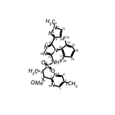 CO[C@H](c1ncc(C)cn1)[C@H](C)S(=O)(=O)Nc1nnc(-c2ccn(C)n2)n1-c1c(F)cccc1F